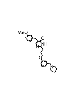 COc1cc(Cc2cnc(CCCOc3cccc(CN4CCCCC4)c3)[nH]c2=O)ccn1